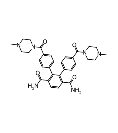 CN1CCN(C(=O)c2ccc(-c3c(C(N)=O)ccc(C(N)=O)c3-c3ccc(C(=O)N4CCN(C)CC4)cc3)cc2)CC1